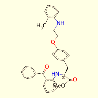 COC(=O)[C@H](Cc1ccc(OCCNc2ccccc2C)cc1)Nc1ccccc1C(=O)c1ccccc1